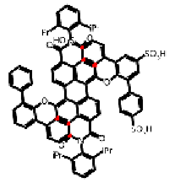 CC(C)c1cccc(C(C)C)c1N1C(=O)c2ccc3c4c(Oc5c(-c6ccc(S(=O)(=O)O)cc6)cc(S(=O)(=O)O)cc5-c5ccc(S(=O)(=O)O)cc5)cc5c6c(ccc(c7c(Oc8c(-c9ccccc9)cccc8-c8ccccc8)cc(c2c37)C1=O)c64)C(=O)N(c1c(C(C)C)cccc1C(C)C)C5=O